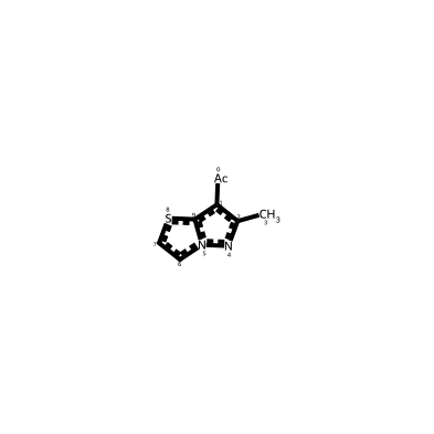 CC(=O)c1c(C)nn2ccsc12